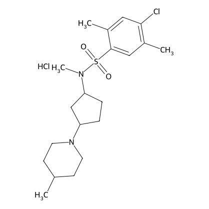 Cc1cc(S(=O)(=O)N(C)C2CCC(N3CCC(C)CC3)C2)c(C)cc1Cl.Cl